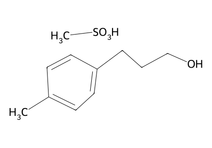 CS(=O)(=O)O.Cc1ccc(CCCO)cc1